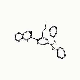 CCCc1cc(P(Oc2ccccc2)Oc2ccccc2)ccc1-c1ccc2ccccc2n1